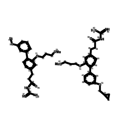 CCOc1cccc(-c2ccc(CCC(=O)NC(=N)N)cc2OCCCOC)c1.COCCCOc1cc(CCC(=O)NC(=N)N)ccc1-c1cccc(OCC2CC2)c1